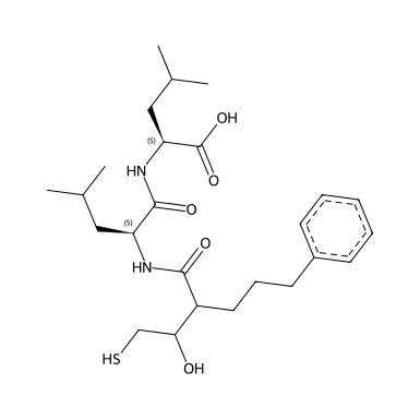 CC(C)C[C@H](NC(=O)[C@H](CC(C)C)NC(=O)C(CCCc1ccccc1)C(O)CS)C(=O)O